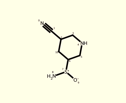 N#CC1CNCC([S+](N)[O-])C1